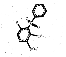 Cc1c([N+](=O)[O-])ccc(F)c1S(=O)(=O)c1ccccc1